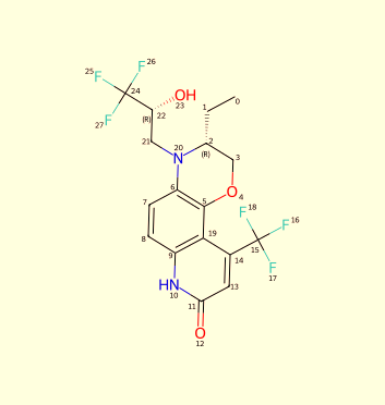 CC[C@@H]1COc2c(ccc3[nH]c(=O)cc(C(F)(F)F)c23)N1C[C@@H](O)C(F)(F)F